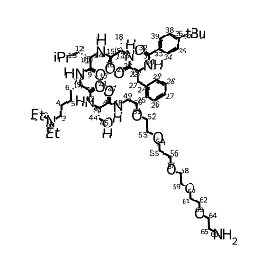 CCN(CC)CCCC[C@H](NC(=O)[C@H](CC(C)C)NC(=O)[C@H](C)NC(=O)[C@H](Cc1ccccc1)NC(=O)c1ccc(C(C)(C)C)cc1)C(=O)N[C@@H](CO)C(=O)NCCOCCOCCOCCOCCOCCN